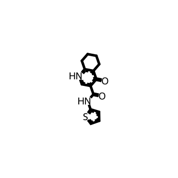 O=C(Nc1cccs1)c1c[nH]c2c(c1=O)CCCC2